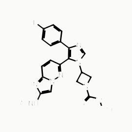 CC(=O)Nc1cn2nc(-c3c(-c4ccc(F)cc4)ncn3C3CN(C(=O)OC(C)(C)C)C3)ccc2n1